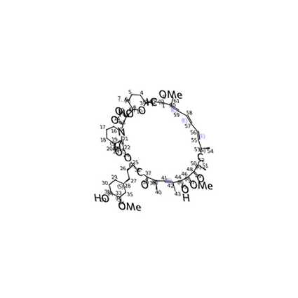 CO[C@H]1C[C@@H]2CC[C@@H](C)[C@@](O)(O2)C(=O)C(=O)N2CCC[C@H](C)[C@H]2C(=O)O[C@H](CC[C@@H]2CC[C@@H](O)[C@H](OC)C2)CC(=O)[C@H](C)/C=C(\C)[C@@H](O)[C@@H](OC)C(=O)[C@H](C)C[C@H](C)/C=C/C=C/C=C/1C